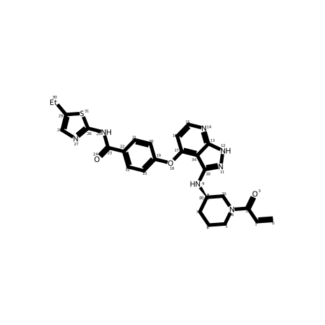 C=CC(=O)N1CCC[C@@H](Nc2n[nH]c3nccc(Oc4ccc(C(=O)Nc5ncc(CC)s5)cc4)c23)C1